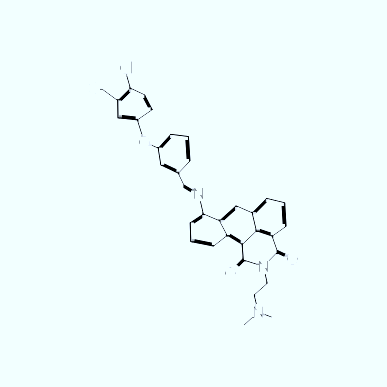 CN(C)CCN1C(=O)c2cccc3cc4c(/N=C/c5cccc(Oc6ccc(Cl)c(Cl)c6)c5)cccc4c(c23)C1=O